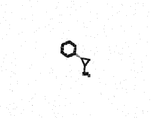 NC1C[C@H]1c1ccccc1